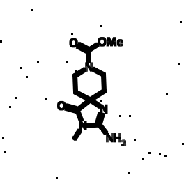 COC(=O)N1CCC2(CC1)N=C(N)N(C)C2=O